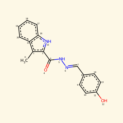 Cc1c(C(=O)NN=Cc2ccc(O)cc2)[nH]c2ccccc12